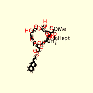 CCCCCCCC(=O)O[C@H]1/C(=C/C(=O)OC)CC2C[C@H](CO)OC(=O)C[C@H](O)CCOCC[C@@H]3C[C@H](CC(=O)OC/C=C/c4ccc5ccccc5c4)O[C@H](/C=C/C(C)(C)[C@]1(O)O2)O3